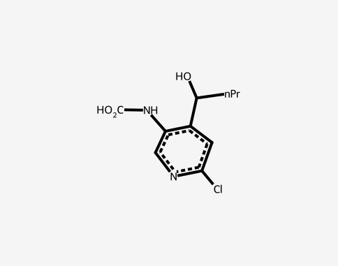 CCCC(O)c1cc(Cl)ncc1NC(=O)O